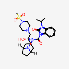 CC(C)n1c(=O)n(C(=O)N[C@@H]2C[C@H]3CC[C@@H](C2)N3C[C@@H](O)CN2CCN(S(C)(=O)=O)CC2)c2ccccc21